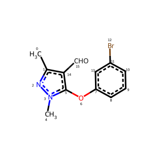 Cc1nn(C)c(Oc2cccc(Br)c2)c1C=O